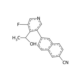 CC(O)c1c(F)cncc1-c1ccc2cc(C#N)ccc2c1